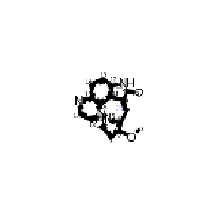 COc1cc[nH]c1/C=C1/C(=O)Nc2ccc3nccnc3c21